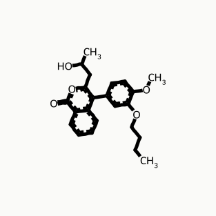 CCCCOc1cc(-c2c(CC(C)O)oc(=O)c3ccccc23)ccc1OC